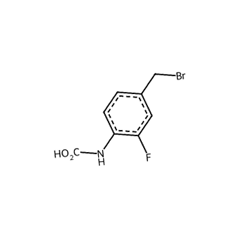 O=C(O)Nc1ccc(CBr)cc1F